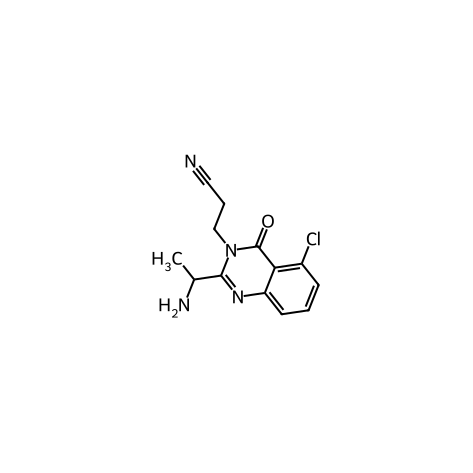 CC(N)c1nc2cccc(Cl)c2c(=O)n1CCC#N